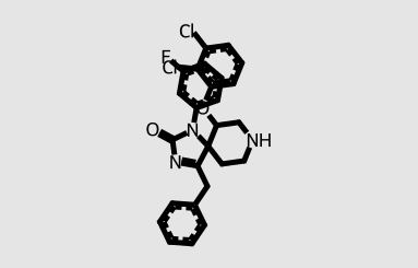 O=C1N=C(Cc2ccccc2)C2(CCNCC2Oc2cccc(Cl)c2Cl)N1c1cccc(F)c1